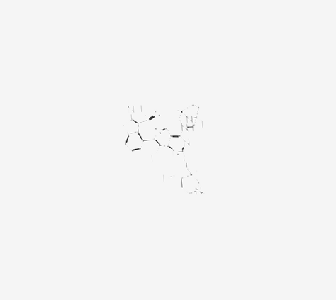 CN1CC[C@H](CF)[C@](C)(COc2nc(N3C[C@H]4CC[C@@H](C3)N4)c3cnc(-c4cccc5sc(N)c(C#N)c45)c(F)c3n2)C1